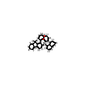 CC1(C)c2ccccc2-c2ccc(N(c3ccccc3)c3cccc4ccccc34)c(-c3ccccc3)c21